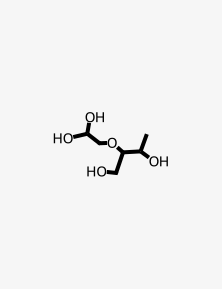 CC(O)C(CO)OCC(O)O